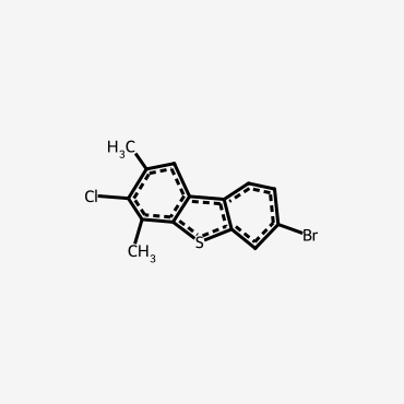 Cc1cc2c(sc3cc(Br)ccc32)c(C)c1Cl